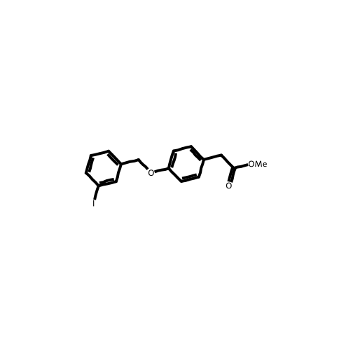 COC(=O)Cc1ccc(OCc2cccc(I)c2)cc1